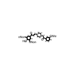 CCCCCCCCCc1cc(C(=O)C=CN2CCN(CC(=O)c3cccc(OC)c3)CC2)cc(CCCCCCCCC)c1O